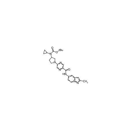 Cc1cc2cc(NC(=O)c3cnc(N4CCC(N(C(=O)OC(C)(C)C)C5CC5)C4)cn3)ccn2n1